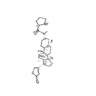 CN(C(=O)[C@H]1CCCN1)[C@H]1CC[C@@]2(C)[C@H](CC[C@@H]3[C@@H]2CC[C@]2(C)[C@@H](C4=CC(=O)OC4)CC[C@]32O)C1